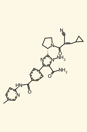 Cc1ccc(NC(=O)c2ccc(-c3nc([C@@H]4CCCN4C(=O)C(C#N)=CC4CC4)n(N)c3C(N)=O)cc2)nc1